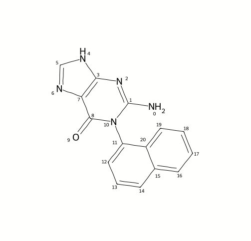 Nc1nc2[nH]cnc2c(=O)n1-c1cccc2ccccc12